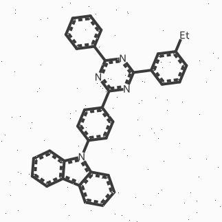 CCc1cccc(-c2nc(-c3ccccc3)nc(-c3ccc(-n4c5ccccc5c5ccccc54)cc3)n2)c1